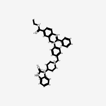 CCOC(=O)c1ccc2c(c1)CN(c1ccc(CN3CCC(n4c(=O)[nH]c5ccccc54)CC3)cc1)C(c1ccccc1)=N2